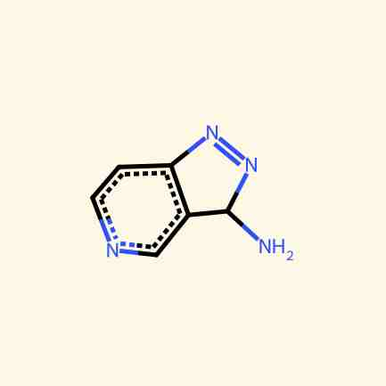 NC1N=Nc2ccncc21